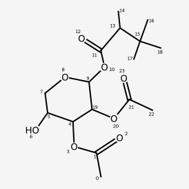 CC(=O)OC1C(O)COC(OC(=O)C(C)C(C)(C)C)C1OC(C)=O